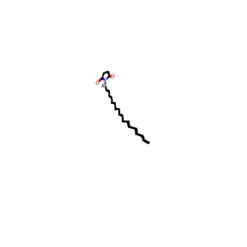 CCCCCCCCCCCCCCCCC[CH2][Au][N]1C(=O)CCC1=O